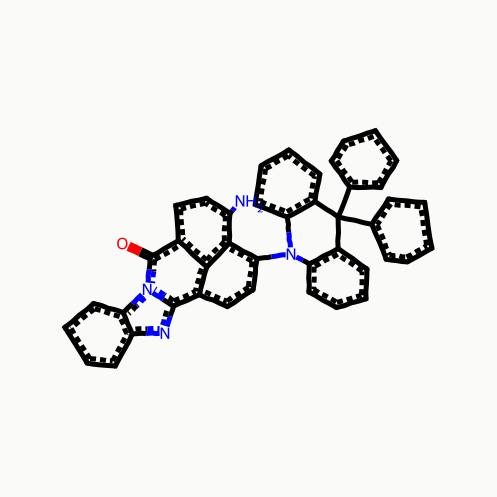 Nc1ccc2c(=O)n3c4ccccc4nc3c3ccc(N4c5ccccc5C(c5ccccc5)(c5ccccc5)c5ccccc54)c1c23